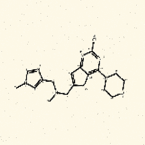 CN(Cc1cn(C)cn1)Cc1cc2nc(Cl)nc(N3CCOCC3)c2s1